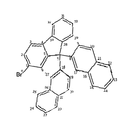 Brc1ccc2c(c1)C(c1ccc3ccccc3c1)(c1ccc3ccccc3c1)c1ccccc1-2